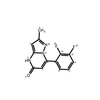 Cc1cc2[nH]c(=O)cc(-c3cccc(F)c3F)n2n1